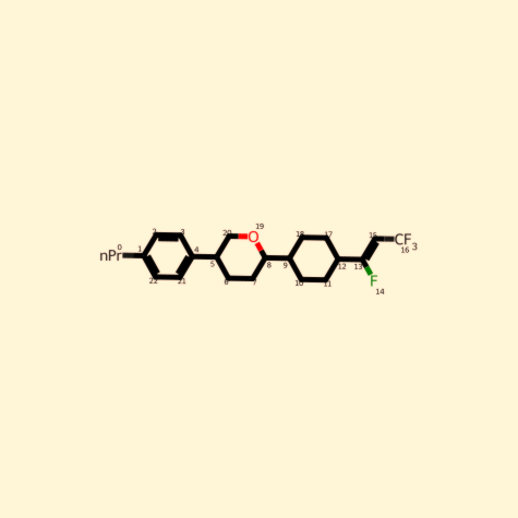 CCCc1ccc(C2CCC(C3CCC(/C(F)=C/C(F)(F)F)CC3)OC2)cc1